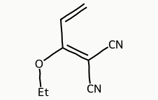 C=CC(OCC)=C(C#N)C#N